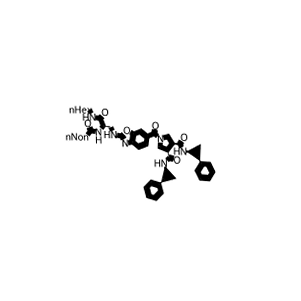 CCCCCCCCCC(=O)N[C@@H](CNc1nc2ccc(C(=O)N3C[C@@H](C(=O)N[C@H]4C[C@@H]4c4ccccc4)[C@H](C(=O)N[C@H]4C[C@@H]4c4ccccc4)C3)cc2o1)C(=O)NCCCCCC